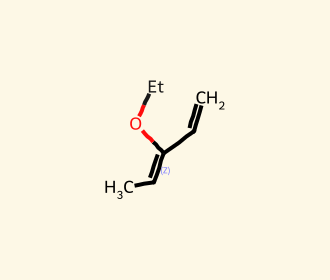 C=C/C(=C/C)OCC